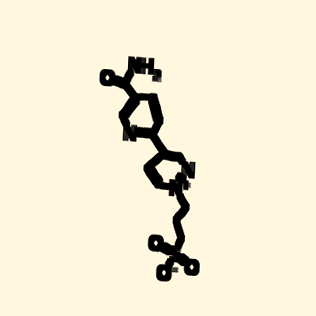 NC(=O)c1ccc(-c2cc[n+](CCCS(=O)(=O)[O-])nc2)nc1